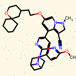 COc1ccc(CN2C3CC2CN(c2ccc(C4=CC(OCCC5CCOC6(CCCCC6)C5)=CN5C4=C(C#N)CN5C)cn2)C3)cn1